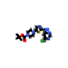 CC(C)(C)OC(=O)N1CCN(c2cnc(Nc3cc(Cl)ncn3)s2)CC1